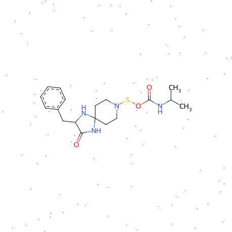 CC(C)NC(=O)OSN1CCC2(CC1)NC(=O)C(Cc1ccccc1)N2